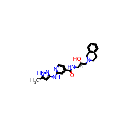 Cc1cc(Nc2cc(C(=O)NC[C@H](O)CN3CCc4ccccc4C3)ccn2)n[nH]1